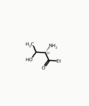 CCC(=O)[C@@H](N)C(C)O